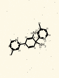 Cc1ccnc(C2C=CC(N)(c3cc(C)ccn3)C(N)=C2)c1